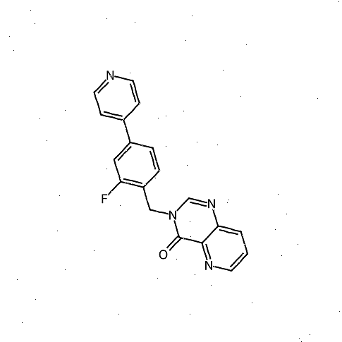 O=c1c2ncccc2ncn1Cc1ccc(-c2ccncc2)cc1F